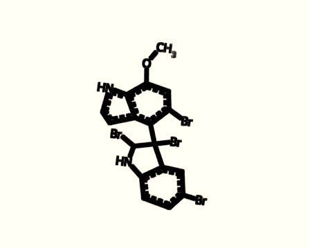 COc1cc(Br)c(C2(Br)c3cc(Br)ccc3NC2Br)c2cc[nH]c12